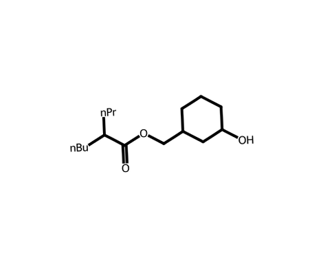 CCCCC(CCC)C(=O)OCC1CCCC(O)C1